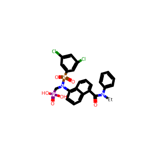 CCN(C(=O)c1cccc2c(N(CP(=O)(O)O)S(=O)(=O)c3cc(Cl)cc(Cl)c3)cccc12)c1ccccc1